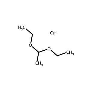 CCOC(C)OCC.[Cu]